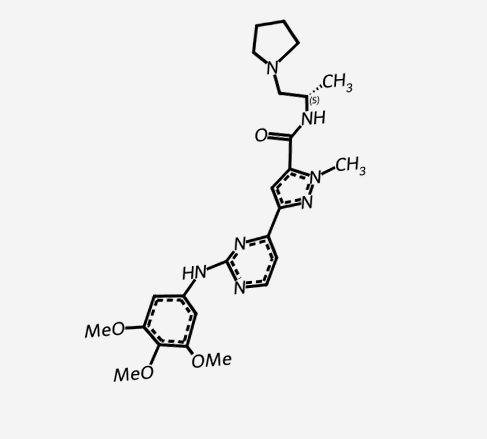 COc1cc(Nc2nccc(-c3cc(C(=O)N[C@@H](C)CN4CCCC4)n(C)n3)n2)cc(OC)c1OC